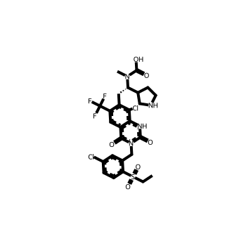 CCS(=O)(=O)c1ccc(Cl)cc1Cn1c(=O)[nH]c2c(Cl)c(C[C@@H](C3CCNC3)N(C)C(=O)O)c(C(F)(F)F)cc2c1=O